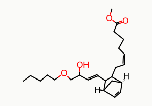 CCCCCOCC(O)C=CC1C(C/C=C\CCCC(=O)OC)[C@H]2C=C[C@H]1C2